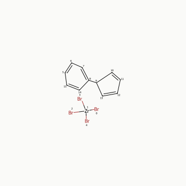 [Br][Zr]([Br])([Br])[Br].[c]1ccc(C2C=CC=C2)cc1